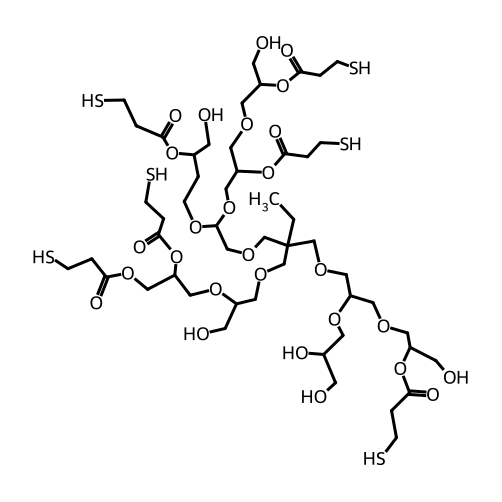 CCC(COCC(CO)OCC(COC(=O)CCS)OC(=O)CCS)(COCC(COCC(CO)OC(=O)CCS)OCC(O)CO)COCC(OCCC(CO)OC(=O)CCS)OCC(COCC(CO)OC(=O)CCS)OC(=O)CCS